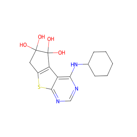 OC1(O)Cc2sc3ncnc(NC4CCCCC4)c3c2C1(O)O